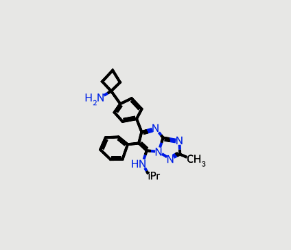 Cc1nc2nc(-c3ccc(C4(N)CCC4)cc3)c(-c3ccccc3)c(NC(C)C)n2n1